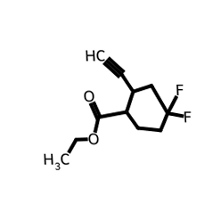 C#CC1CC(F)(F)CCC1C(=O)OCC